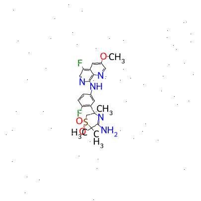 COc1cnc2c(Nc3ccc(F)c([C@]4(C)CS(=O)(=O)C(C)(C)C(N)=N4)c3)ncc(F)c2c1